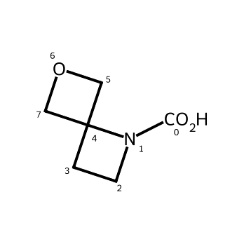 O=C(O)N1CCC12COC2